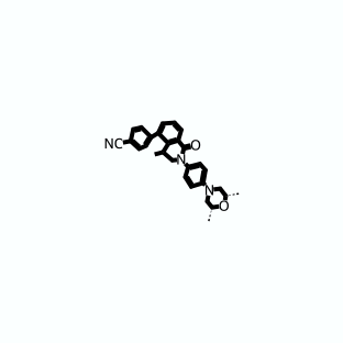 CC1CN(c2ccc(N3C[C@@H](C)O[C@@H](C)C3)cc2)C(=O)c2cccc(-c3ccc(C#N)cc3)c21